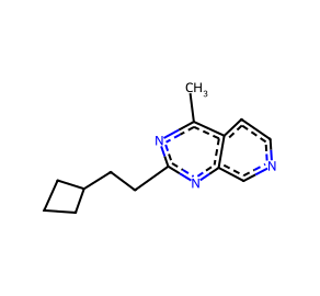 Cc1nc(CCC2CCC2)nc2cnccc12